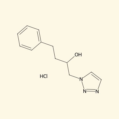 Cl.OC(CCc1ccccc1)Cn1ccnn1